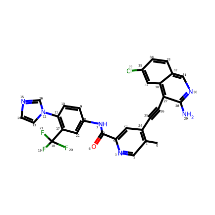 Cc1cnc(C(=O)Nc2ccc(-n3ccnc3)c(C(F)(F)F)c2)cc1C#Cc1c(N)ncc2ccc(Cl)cc12